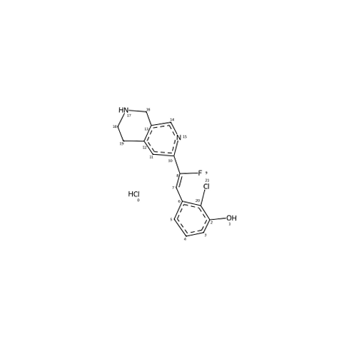 Cl.Oc1cccc(C=C(F)c2cc3c(cn2)CNCC3)c1Cl